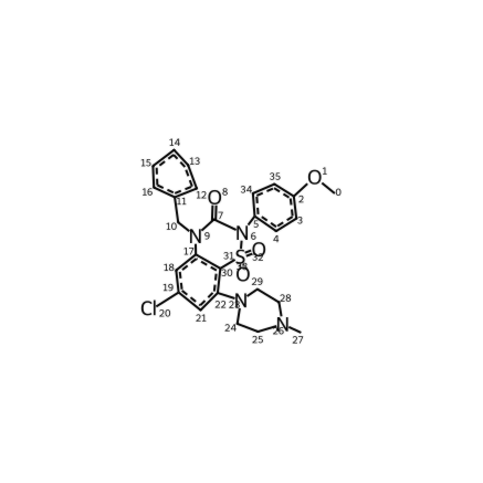 COc1ccc(N2C(=O)N(Cc3ccccc3)c3cc(Cl)cc(N4CCN(C)CC4)c3S2(=O)=O)cc1